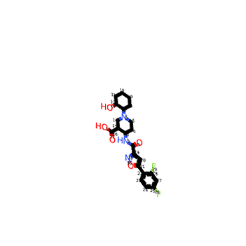 O=C(NC1CCN(C2CCCCC2O)CC1C(=O)O)c1cc(-c2ccc(F)cc2F)on1